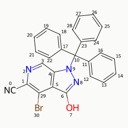 N#Cc1ncc2c(c(O)nn2C(c2ccccc2)(c2ccccc2)c2ccccc2)c1Br